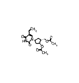 C=Cc1cn([C@@H]2C[C@H](COC(C)=O)[C@@H](OC(C)=O)C2)c(=O)[nH]c1=O